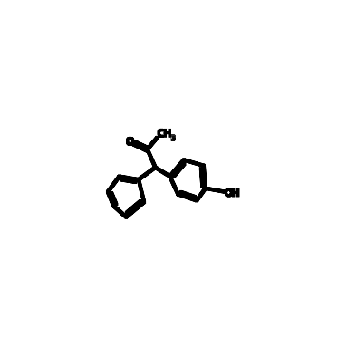 CC(=O)C(c1ccccc1)c1ccc(O)cc1